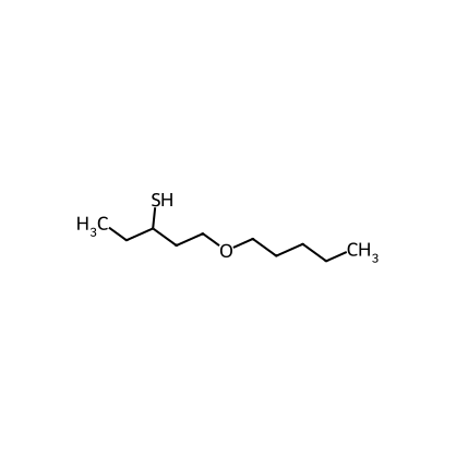 CCCCCOCCC(S)CC